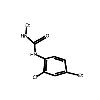 CCNC(=O)Nc1ccc(CC)cc1Cl